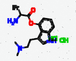 CC(C)C(N)C(=O)Oc1cccc2[nH]cc(CCN(C)C)c12.Cl.Cl